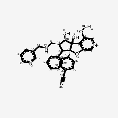 COc1cncc2c1C1(O)[C@H](O)[C@H](CNCc3cccnc3)C(c3ccccc3)[C@]1(c1ccc(C#N)cc1)O2